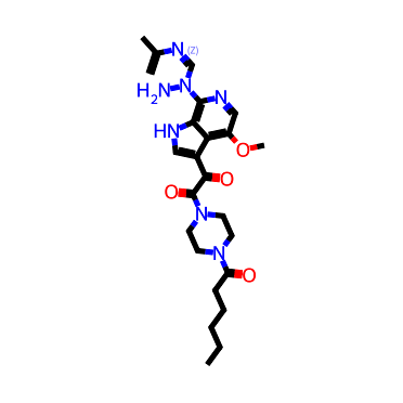 C=C(C)/N=C\N(N)c1ncc(OC)c2c(C(=O)C(=O)N3CCN(C(=O)CCCCC)CC3)c[nH]c12